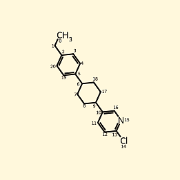 CCc1ccc(C2CCC(c3ccc(Cl)nc3)CC2)cc1